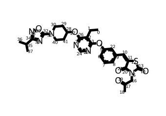 CCc1c(Oc2cccc(C=C3SC(=O)N(CC(C)=O)C3=O)c2)ncnc1OC1CCN(c2nc(C(C)C)no2)CC1